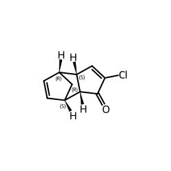 O=C1C(Cl)=C[C@@H]2[C@H]1[C@@H]1C=C[C@H]2C1